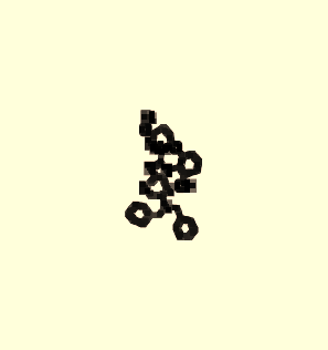 CCOC1=NC(c2nc3ncc(N(Cc4ccccc4)Cc4ccccc4)nc3n2-c2c(O)cccc2OC)=C=C=C1